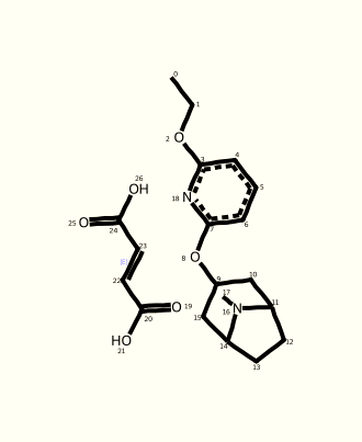 CCOc1cccc(OC2CC3CCC(C2)N3C)n1.O=C(O)/C=C/C(=O)O